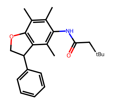 Cc1c(C)c2c(c(C)c1NC(=O)CC(C)(C)C)C(c1ccccc1)CO2